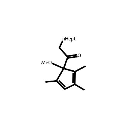 CCCCCCCCC(=O)C1(OC)C(C)=CC(C)=C1C